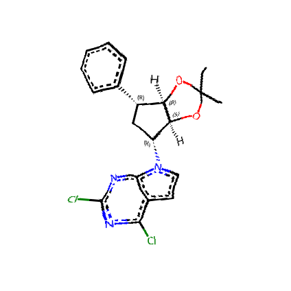 CC1(C)O[C@@H]2[C@H](O1)[C@@H](c1ccccc1)C[C@H]2n1ccc2c(Cl)nc(Cl)nc21